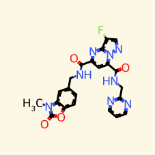 Cn1c(=O)oc2ccc(CNC(=O)c3cc(C(=O)NCc4ncccn4)n4ncc(F)c4n3)cc21